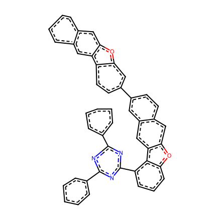 c1ccc(-c2nc(-c3ccccc3)nc(-c3cccc4oc5cc6ccc(-c7ccc8c(c7)oc7cc9ccccc9cc78)cc6cc5c34)n2)cc1